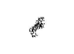 O=C(c1ccccc1)N1CCN(C(=O)N2N=CCC2c2ccccc2)CC1